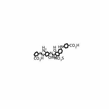 COc1cc(N=Nc2cccc(C(=O)O)c2)c(N)cc1N=Nc1c(S(=O)(=O)O)cc2ccc(Nc3ccc(C(=O)O)cc3)cc2c1O